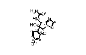 NC(=O)NCC(O)(Cn1cncn1)c1ccc(Cl)cc1Cl